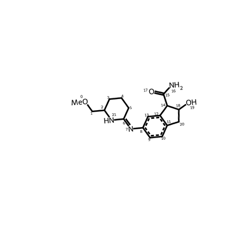 COCC1CCCC(=Nc2ccc3c(c2)C(C(N)=O)C(O)C3)N1